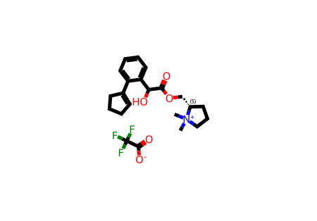 C[N+]1(C)CCC[C@H]1COC(=O)C(O)c1ccccc1C1=CCCC1.O=C([O-])C(F)(F)F